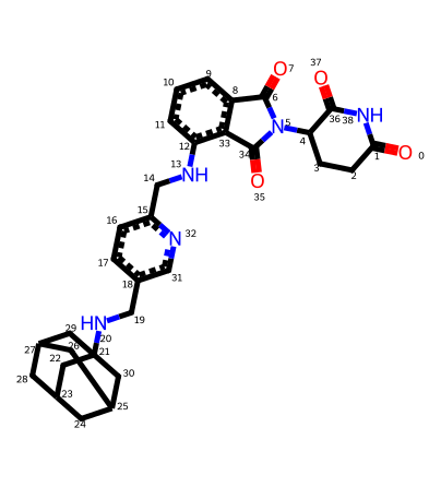 O=C1CCC(N2C(=O)c3cccc(NCc4ccc(CNC56CC7CC(CC(C7)C5)C6)cn4)c3C2=O)C(=O)N1